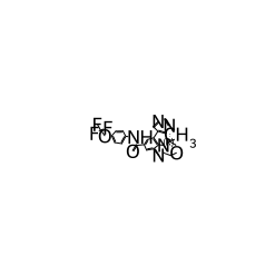 C[C@@H]1COCc2nc3cc(C(=O)Nc4ccc(OC(F)(F)F)cc4)cc(-c4cncnc4)c3n21